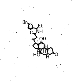 CC[C@@H](NC(=O)C[C@@H](C)C1CC[C@H]2[C@@H]3[C@H](O)C[C@@H]4CC(=O)CC[C@]4(C)[C@H]3C[C@H](O)[C@]12C)c1ccc(Br)s1